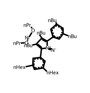 CCCCCCc1cc(CCCCCC)cc(C2=C(CCCC)C(CCCC)=C(c3cc(CCCC)cc(CCCC)c3)[N+]2=[N-])c1.CCC[O][Ni][O]CCC